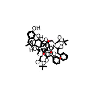 CN1CC[C@]23c4c5ccc(O)c4O[C@H]2C(OC(=O)C[C@H](NC(=O)[C@@H](OC(=O)OC(C)(C)C)c2ccccc2)C(=O)OC(C)(C)C)=CC[C@@]3(OC(=O)C[C@H](NC(=O)[C@@H](OC(=O)OC(C)(C)C)c2ccccc2)C(=O)OC(C)(C)C)[C@H]1C5